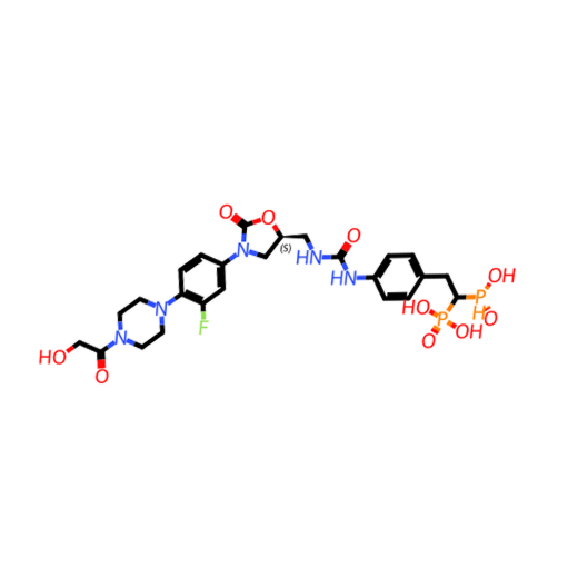 O=C(NC[C@H]1CN(c2ccc(N3CCN(C(=O)CO)CC3)c(F)c2)C(=O)O1)Nc1ccc(CC([PH](=O)O)P(=O)(O)O)cc1